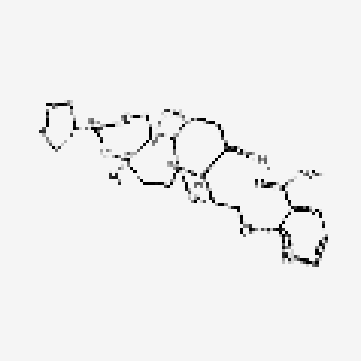 C=C1CCC2[C@]3(C)CO[C@@H](C4CCCC4)O[C@@H]3CC[C@@]2(C)[C@@H]1CCOc1ncccc1C(=O)OC